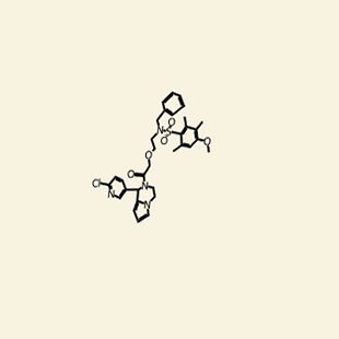 COc1cc(C)c(S(=O)(=O)N(CCOCC(=O)N2CCn3cccc3C2c2ccc(Cl)nc2)Cc2ccccc2)c(C)c1C